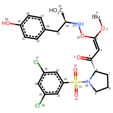 CC(C)(C)OC(=CC(=O)[C@@H]1CCCN1S(=O)(=O)c1cc(Cl)cc(Cl)c1)ON[C@@H](Cc1ccc(O)cc1)C(=O)O